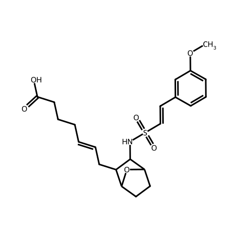 COc1cccc(/C=C/S(=O)(=O)NC2C3CCC(O3)C2C/C=C/CCCC(=O)O)c1